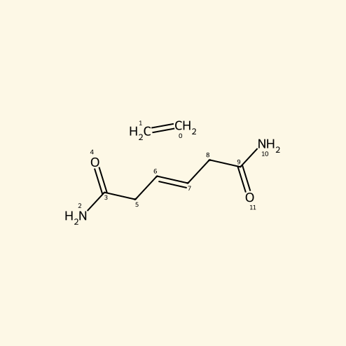 C=C.NC(=O)CC=CCC(N)=O